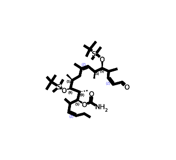 CC/C=C\C(C)[C@H](OC(N)=O)[C@@H](C)[C@H](O[Si](C)(C)C(C)(C)C)[C@@H](C)C/C(C)=C\[C@H](C)[C@@H](O[Si](C)(C)C(C)(C)C)C(C)/C=C\C=O